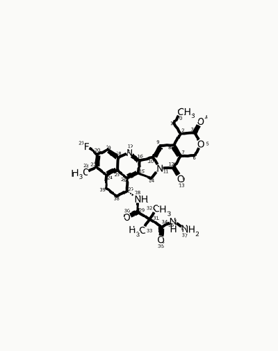 CCC1C(=O)OCc2c1cc1n(c2=O)Cc2c-1nc1cc(F)c(C)c3c1c2[C@H](NC(=O)C(C)(C)C(=O)NN)CC3